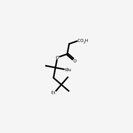 CCC(C)(C)CC(C)(OC(=O)CC(=O)O)C(C)(C)C